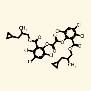 CC(COC(=O)c1c(Cl)c(Cl)cc(Cl)c1OC(=O)C(=O)Oc1c(Cl)cc(Cl)c(Cl)c1C(=O)OCC(C)CC1CC1)CC1CC1